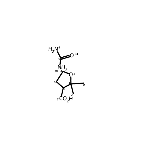 CC1(C)OCCC1C(=O)O.NC(N)=O